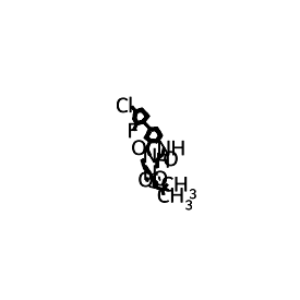 CC(C)CS(=O)(=O)N1CCN2C(=O)c3cc(-c4ccc(Cl)cc4F)ccc3NC(=O)[C@H]2C1